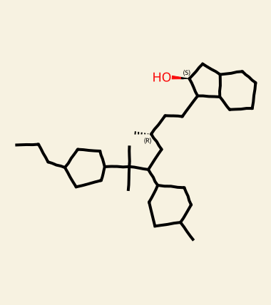 CCCC1CCC(C(C)(C)C(C[C@H](C)CCC2C3CCCCC3C[C@@H]2O)C2CCC(C)CC2)CC1